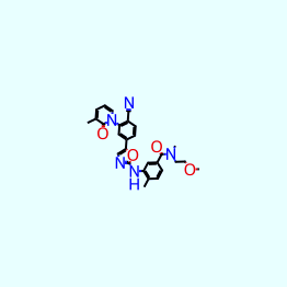 COCCN(C)C(=O)c1ccc(C)c(Nc2ncc(-c3ccc(C#N)c(-n4cccc(C)c4=O)c3)o2)c1